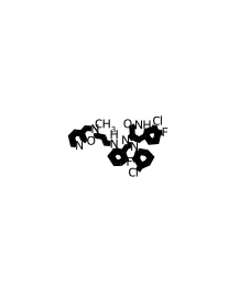 CN(Cc1cccnc1)C(=O)CCNc1ccccc1-c1nc(C(N)=O)c(-c2ccc(F)c(Cl)c2)n1-c1cccc(Cl)c1F